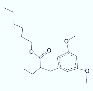 CCCCCCOC(=O)C(CC)Cc1cc(OC)cc(OC)c1